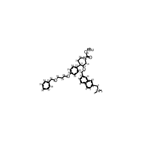 CN(C)Cc1ccc2ccc(COC3CN(C(=O)OC(C)(C)C)CCC3c3ccc(OCCCOCc4ccccc4)cc3)cc2c1